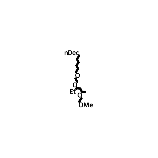 CCCCCCCCCCCCCCCCOCCOC(CC)CC(C)OCCOC